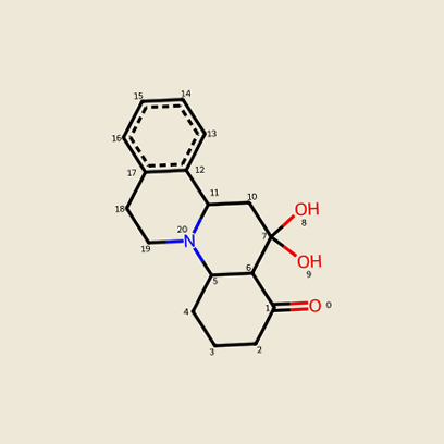 O=C1CCCC2C1C(O)(O)CC1c3ccccc3CCN12